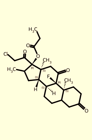 CCC(=O)O[C@]1(C(=O)CCl)C(C)C[C@H]2[C@@H]3CCC4CC(=O)CC[C@]4(C)[C@@]3(F)C(=O)C[C@@]21C